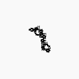 Cc1ccc(-c2ccc(Cl)c(N3Cc4cnc5nc4N(C/C=C\COc4cc(ccc4N4CCN(C)CC4)N5)C3=O)c2C)c(C)c1NC(=O)N1C/C=C/COc2cccc(c2)Nc2cc1ncn2